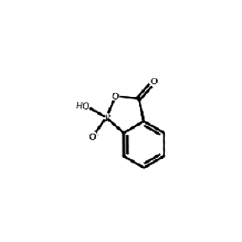 O=C1O[I+]([O-])(O)c2ccccc21